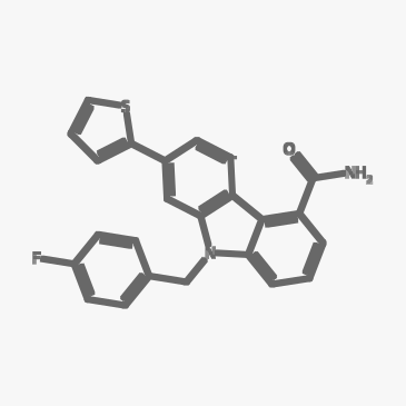 NC(=O)c1cccc2c1c1[c]cc(-c3cccs3)cc1n2Cc1ccc(F)cc1